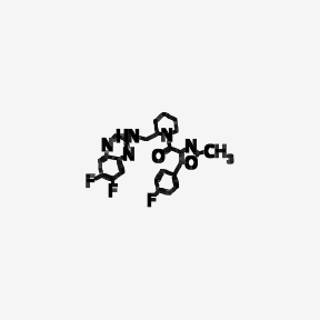 Cc1nc(C(=O)N2CCCCC2CNc2cnc3cc(F)c(F)cc3n2)c(-c2ccc(F)cc2)o1